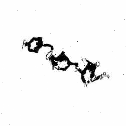 CC(C)(C)n1ncc(SCc2ccc(OCc3ccc(F)cc3)nc2)c(Cl)c1=O